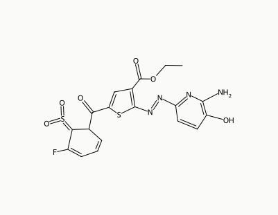 CCOC(=O)c1cc(C(=O)C2C=CC=C(F)C2=S(=O)=O)sc1N=Nc1ccc(O)c(N)n1